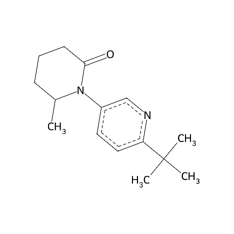 CC1CCCC(=O)N1c1ccc(C(C)(C)C)nc1